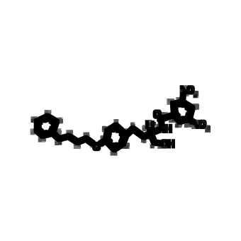 CCC(CO)(CCc1ccc(OCCCCc2ccccc2)cc1)NC(=O)c1cc([N+](=O)[O-])cc([N+](=O)[O-])c1